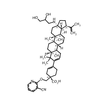 C=C(C)[C@@H]1CC[C@]2(NCC(O)CO)CC[C@]3(C)[C@H](CC[C@@H]4[C@@]5(C)CC=C(C6=CC[C@](COc7ncccc7C#N)(C(=O)O)CC6)C(C)(C)[C@@H]5CC[C@]43C)[C@@H]12